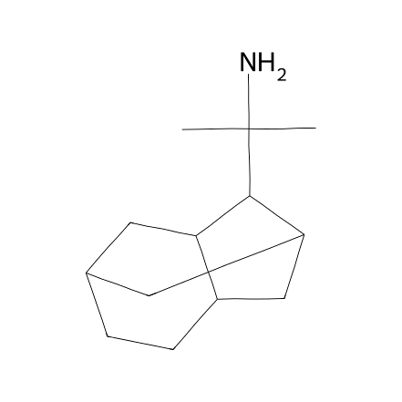 CC(C)(N)C1C2CC3CCC(C2)C1C3